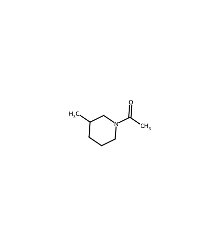 CC(=O)N1CCCC(C)C1